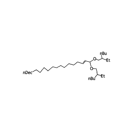 CCCCCCCCCCCCCCCCCCCCCC=CC(OCC(CC)CCCC)OCC(CC)CCCC